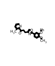 COc1ccc(-c2nc(CCC(=O)c3ncccc3C)co2)cc1[O][Rh]